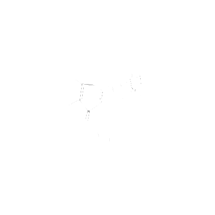 CC(=O)O.CC(=O)O.CC(=O)O.CC(=O)O.CC(=O)O.CCc1occc(=O)c1O